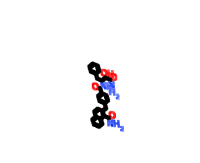 NC(=O)c1c(Cc2ccc(C(=O)NC(Cc3ccccc3)[C@H](O)C(N)=O)cc2)ccc2ccccc12